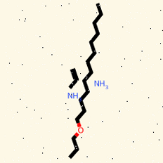 C=CC.CCCCCCCCCCCCCOCCC.N.N